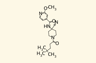 COc1cc(C(=O)NC2(C#N)CCN(C(=O)CCC(C)(C)C)CC2)ccn1